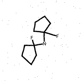 FC1([N]C2(F)CCCC2)CCCC1